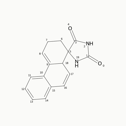 O=C1NC(=O)C2(CCC=C3c4ccccc4C=CC32)N1